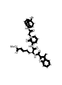 COC(=O)/C=C/CC[C@H](NC(=O)c1oc2ccccc2c1C)C(=O)Nc1cccn(CC(=O)N[C@H]2C3CC4CC2C(Br)(C4)C3)c1=O